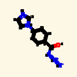 [N-]=[N+]=NC(=O)c1ccc(-n2ccnc2)cc1